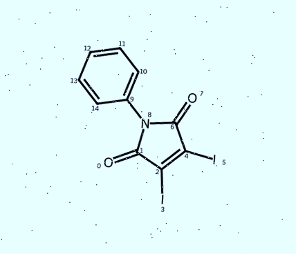 O=C1C(I)=C(I)C(=O)N1c1ccccc1